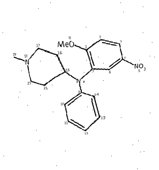 COc1ccc([N+](=O)[O-])cc1N(c1ccccc1)C1CCN(C)CC1